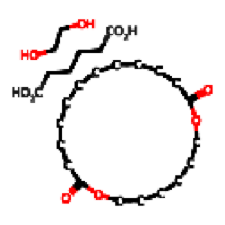 O=C(O)CCCCC(=O)O.O=C1CCCCCCCCCCC(=O)OCCCCCCO1.OCCO